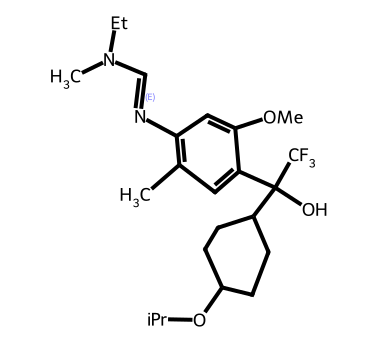 CCN(C)/C=N/c1cc(OC)c(C(O)(C2CCC(OC(C)C)CC2)C(F)(F)F)cc1C